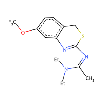 CCN(CC)C(C)=NC1=Nc2cc(OC(F)(F)F)ccc2CS1